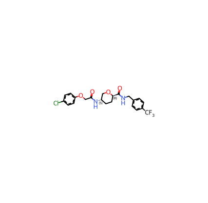 O=C(COc1ccc(Cl)cc1)N[C@H]1CC[C@H](C(=O)NCc2ccc(C(F)(F)F)cc2)OC1